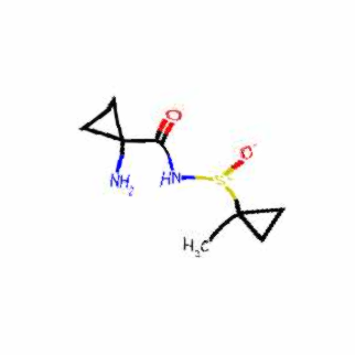 CC1([S+]([O-])NC(=O)C2(N)CC2)CC1